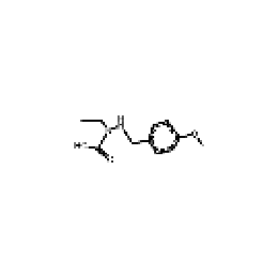 CCN(NCc1ccc(OC)cc1)C(=O)O